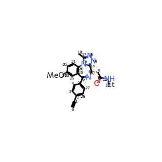 C#Cc1ccc(C2=N[C@@H](CC(=O)NCC)c3nnc(C)n3-c3ccc(OC)cc32)cc1